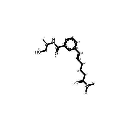 C[C@H](CO)NC(=O)c1cccc(/C=C/CCCC(=O)N(C)C)c1